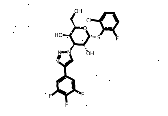 OC[C@H]1O[C@H](Sc2c(F)cccc2Cl)[C@H](O)[C@@H](n2cc(-c3cc(F)c(F)c(F)c3)nn2)[C@H]1O